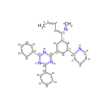 C=N/C(=C\C=C/C)c1cc(-c2ccccn2)cc(-c2nc(-c3ccccc3)nc(-c3ccccc3)n2)c1